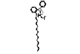 CCCCCCCCCCCCCN(C(=O)CF)c1ccccc1Oc1ccccc1